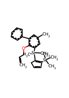 C=CCOc1c(-c2ccccc2)cc(C)cc1[Si](C)(C)C1=C([Si](C)(C)C)C=CC1